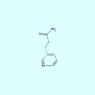 NC(=O)CCc1cc[c]nc1